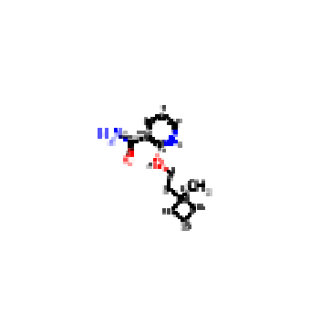 CC1(CCOc2ncccc2C(N)=O)CCC1